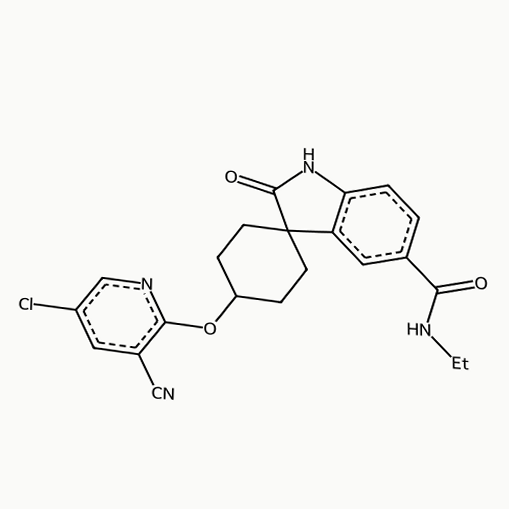 CCNC(=O)c1ccc2c(c1)C1(CCC(Oc3ncc(Cl)cc3C#N)CC1)C(=O)N2